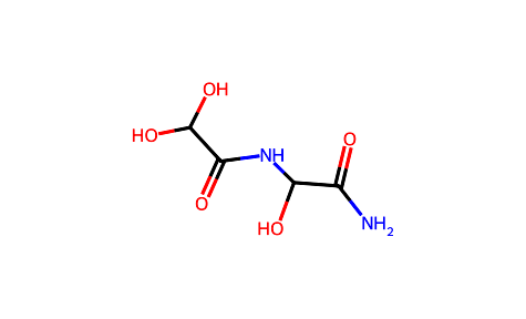 NC(=O)C(O)NC(=O)C(O)O